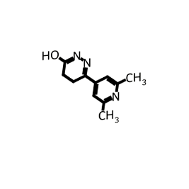 Cc1cc(C2=NN=C(O)CC2)cc(C)n1